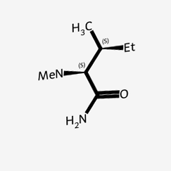 CC[C@H](C)[C@H](NC)C(N)=O